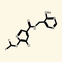 COc1ncncc1CNC(=O)c1cnc(OC(F)F)c(Cl)c1